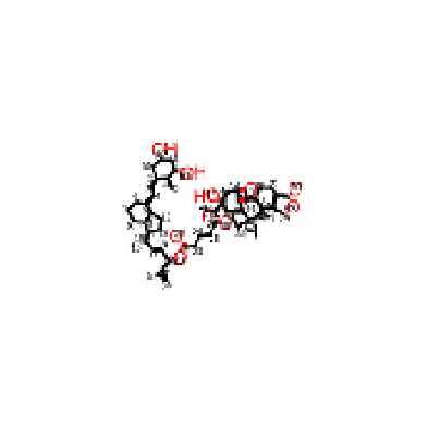 C=C1/C(=C\C=C2/CCC[C@@]3(C)C2CCC3[C@@H](C)/C=C/C(OC(=O)CCCC(=O)O[C@H]2[C@]34CC[C@H]3C[C@H]3C5=C(CC[C@]3(C)[C@@]43O[C@H]3C[C@@]2(O)C(C)C)C(=O)OC5)C2CC2)C[C@@H](O)C[C@@H]1O